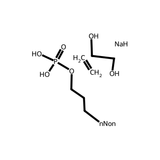 C=C.CCCCCCCCCCCCOP(=O)(O)O.OCCO.[NaH]